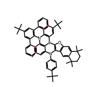 Cc1cc2c3c(c1)N(c1ccc(C(C)(C)C)cc1)c1c(oc4cc5c(cc14)C(C)(C)CCC5(C)C)B3c1cc(C(C)(C)C)ccc1N2c1c(-c2ccccc2)cc(C(C)(C)C)cc1-c1ccccc1